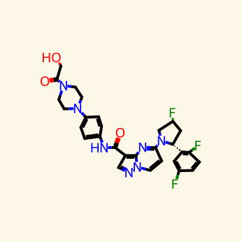 O=C(Nc1ccc(N2CCN(C(=O)CO)CC2)cc1)c1cnn2ccc(N3C[C@@H](F)C[C@@H]3c3cc(F)ccc3F)nc12